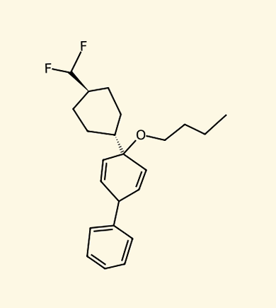 CCCCOC1([C@H]2CC[C@H](C(F)F)CC2)C=CC(c2ccccc2)C=C1